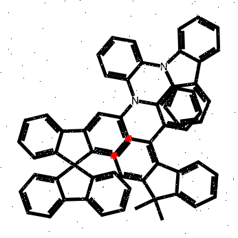 CC1(C)c2ccccc2-c2c(-c3ccccc3N(c3ccc4c(c3)-c3ccccc3C43c4ccccc4-c4ccccc43)c3ccccc3-n3c4ccccc4c4ccccc43)cccc21